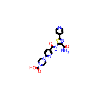 NC(=O)c1nc(-c2ccncc2)sc1NC(=O)c1ccc(N2CCN(C(=O)O)CC2)nc1